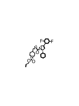 C=CCOC(=O)N1CCC(CN(C)C(=O)N2CC(c3cc(F)ccc3F)=C[C@H]2c2ccccc2)CC1